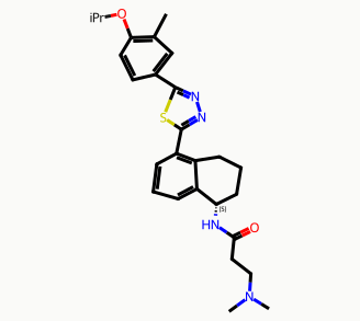 Cc1cc(-c2nnc(-c3cccc4c3CCC[C@@H]4NC(=O)CCN(C)C)s2)ccc1OC(C)C